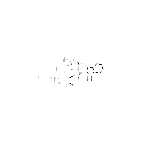 CCCN1CC(OC2=CCC(C)([C@@H]3c4[nH]c5ccccc5c4C[C@@H](C)N3CC(C)(C)F)C=C2F)C1